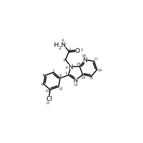 NC(=O)Cn1c(-c2cccc(Cl)c2)nc2cccnc21